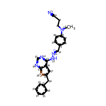 CN(CCC#N)c1ccc(/C=N/Nc2ncnc3sc(Cc4ccccc4)cc23)cc1